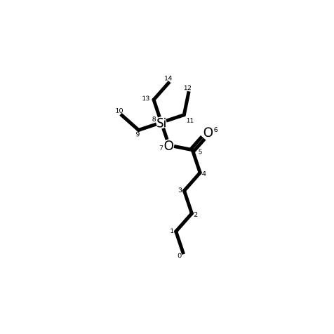 CCCCCC(=O)O[Si](CC)(CC)CC